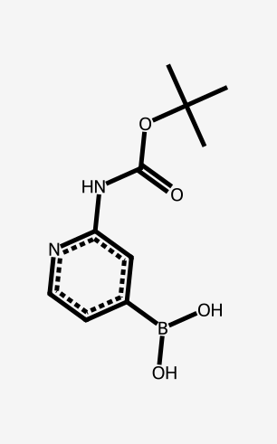 CC(C)(C)OC(=O)Nc1cc(B(O)O)ccn1